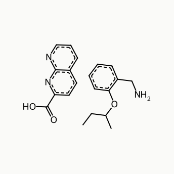 CCC(C)Oc1ccccc1CN.O=C(O)c1ccc2cccnc2n1